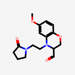 COc1ccc2c(c1)N(CCN1CCCC1=O)C(C=O)CO2